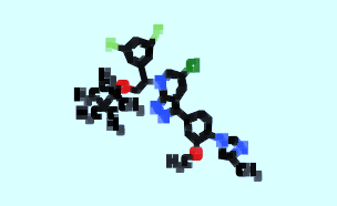 COc1cc(-c2nnc3n(C(CO[Si](C)(C)C(C)(C)C)c4cc(F)cc(F)c4)cc(Cl)cc2-3)ccc1-n1cnc(C)c1